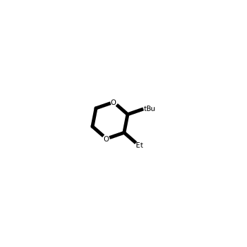 CCC1OCCOC1C(C)(C)C